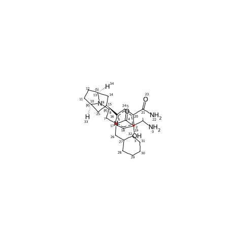 NCC(O)C(=O)N(CCN1[C@@H]2CC[C@H]1C[C@@H](c1cccc(C(N)=O)c1)C2)CC1CCCCC1